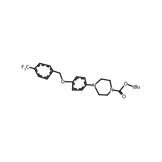 CC(C)(C)OC(=O)N1CCN(c2ccc(OCc3ccc(C(F)(F)F)cc3)cc2)CC1